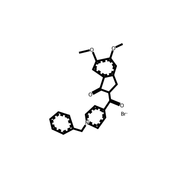 COc1cc2c(cc1OC)C(=O)C(C(=O)c1cc[n+](Cc3ccccc3)cc1)C2.[Br-]